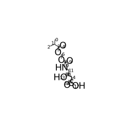 CC(C)C(=O)OCOC(=O)NC[C@@H](O)CS(=O)O